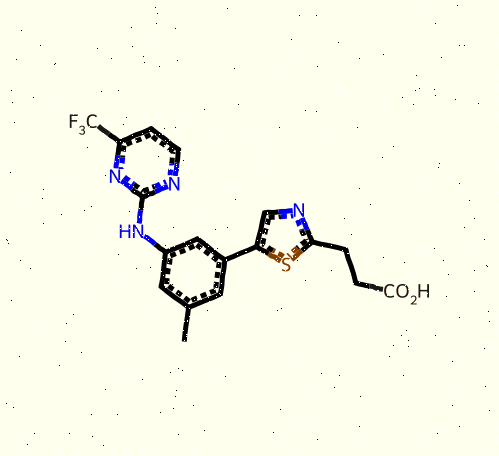 Cc1cc(Nc2nccc(C(F)(F)F)n2)cc(-c2cnc(CCC(=O)O)s2)c1